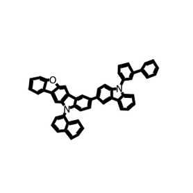 c1ccc(-c2cccc(-n3c4ccccc4c4cc(-c5ccc6c(c5)c5cc7oc8ccccc8c7cc5n6-c5cccc6ccccc56)ccc43)c2)cc1